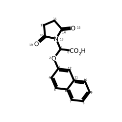 O=C(O)C(Oc1ccc2ccccc2c1)N1C(=O)CCC1=O